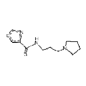 O=C(NCCCN1CCCC1)c1cocn1